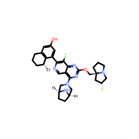 CC[C@@H]1CCCc2cc(O)cc(-c3ncc4c(N5C[C@H]6CC[C@@H](C5)N6)nc(OC[C@@]56CCCN5C[C@H](F)C6)nc4c3F)c21